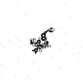 CCC1C[C@]1(NC(=O)C1C[C@@H](Oc2cc(-n3ccc(NC(C)C)n3)nc3cc(OCCN4CCOCC4)ccc23)CN1C(=O)C(NC(=O)OC1CC(C)C(C)C1)C(C)(C)C)C(=O)O